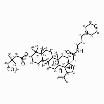 C=C(C)[C@@H]1CC[C@]2(CC(=O)NCCCN3CCOCC3)CC[C@]3(C)[C@H](CC[C@@H]4[C@@]5(C)CC[C@H](OC(=O)CC(C)(C)CC(=O)O)C(C)(C)[C@@H]5CC[C@]43C)[C@@H]12